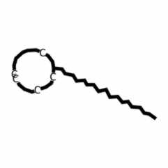 CCCCCCCCCCCCCCCCCCC1CCCCCCCCCCCCCCCCC1